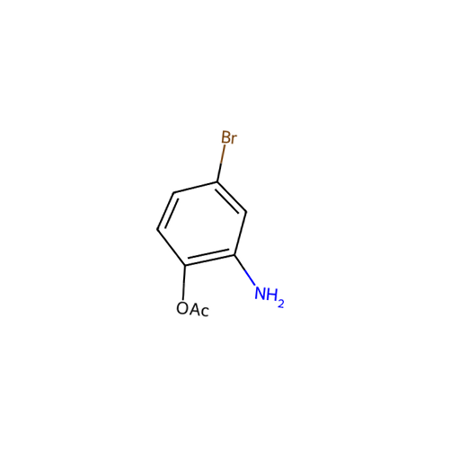 CC(=O)Oc1ccc(Br)cc1N